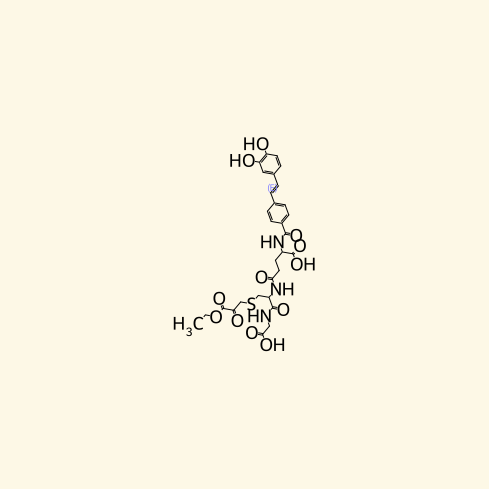 CCOC(=O)C(=O)CSCC(NC(=O)CCC(NC(=O)c1ccc(/C=C/c2ccc(O)c(O)c2)cc1)C(=O)O)C(=O)NCC(=O)O